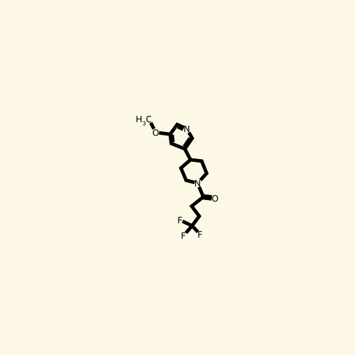 COc1cncc(C2CCN(C(=O)CCC(F)(F)F)CC2)c1